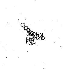 N=C1CCCCN1C1CCN(C(=O)[C@H](O)CS(=O)(=O)c2ccc3cc(Cl)ccc3c2)CC1.O=C(O)C(F)(F)F